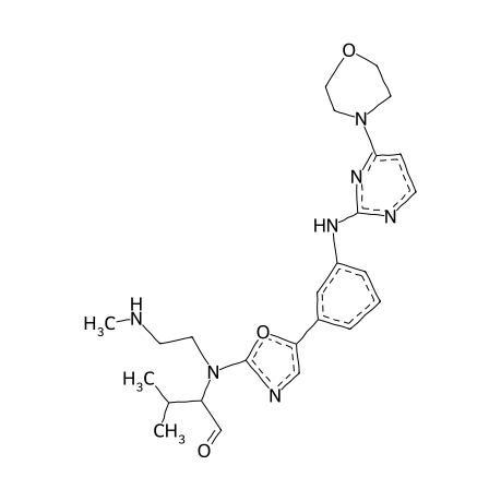 CNCCN(c1ncc(-c2cccc(Nc3nccc(N4CCOCC4)n3)c2)o1)C(C=O)C(C)C